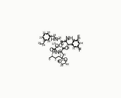 CCCCC1(C[C@@H](NC(=O)OC)C(=O)O[C@H](CNCc2cccc(CC)c2)[C@@H](N)Cc2cc(F)cc(F)c2)OCCO1